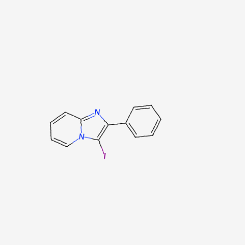 Ic1c(-c2ccccc2)nc2ccccn12